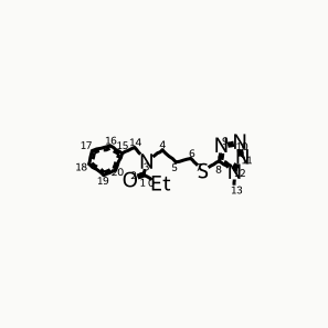 CCC(=O)N(CCCSc1nnnn1C)Cc1ccccc1